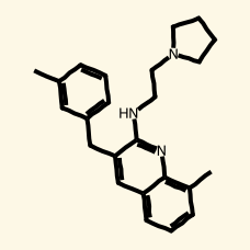 Cc1cccc(Cc2cc3cccc(C)c3nc2NCCN2CCCC2)c1